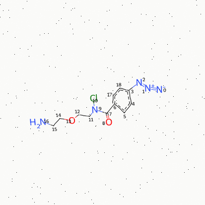 [N-]=[N+]=Nc1ccc(C(=O)N(Cl)CCOCCN)cc1